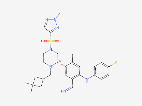 Cc1cc(Nc2ccc(F)cc2)c(C=N)cc1[C@H]1CN(S(=O)(=O)c2cnn(C)n2)CCN1CC1CC(C)(C)C1